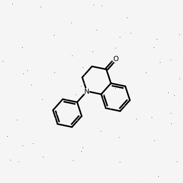 O=C1CCN(c2ccccc2)c2ccccc21